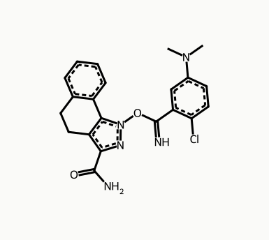 CN(C)c1ccc(Cl)c(C(=N)On2nc(C(N)=O)c3c2-c2ccccc2CC3)c1